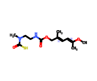 C/C(=C\C=C(/C)OC#N)COC(=O)NCCN(C)C(=O)S